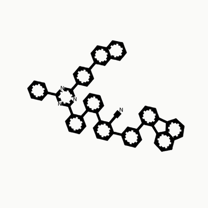 N#Cc1c(-c2cccc(-c3cccc4c3-c3cccc5cccc-4c35)c2)cccc1-c1ccccc1-c1ccccc1-c1nc(-c2ccccc2)nc(-c2ccc(-c3ccc4ccccc4c3)cc2)n1